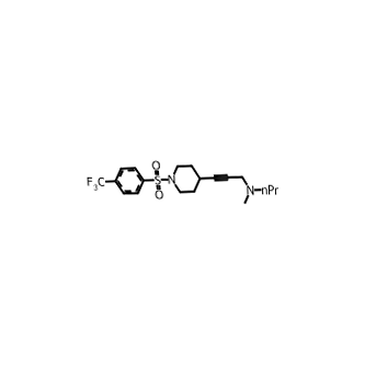 CCCN(C)CC#CC1CCN(S(=O)(=O)c2ccc(C(F)(F)F)cc2)CC1